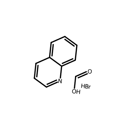 Br.O=CO.c1ccc2ncccc2c1